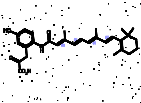 CC1=C(/C=C/C(C)=C/C=C/C(C)=C/C(=O)Nc2ccc(O)cc2CC(=O)C(=O)O)C(C)(C)CCC1